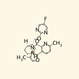 Cc1coc(-c2ccc(C)nc2C(=O)N2[C@@H]3CC[C@H]2[C@H](COc2ncc(F)cn2)C3)n1